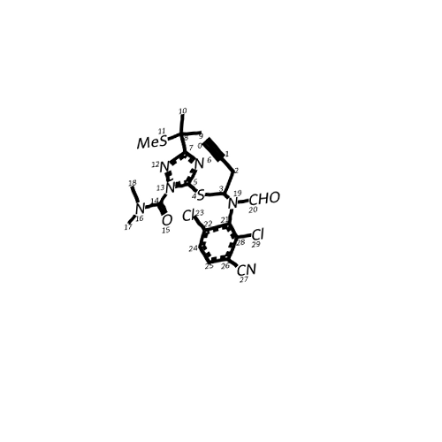 C#CCC(Sc1nc(C(C)(C)SC)nn1C(=O)N(C)C)N(C=O)c1c(Cl)ccc(C#N)c1Cl